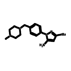 CN1CCN(Cc2ccc(-n3nc(C(C)(C)C)cc3N)cc2)CC1